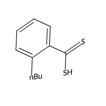 CCCCc1ccccc1C(=S)S